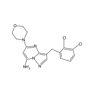 Nc1cc(N2CCOCC2)nc2c(Cc3cccc(Cl)c3Cl)cnn12